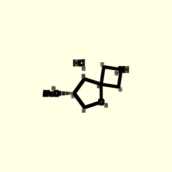 CO[C@H]1COC2(CNC2)C1.Cl